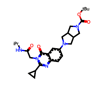 CC(C)NC(=O)Cn1c(C2CC2)nc2ccc(N3CC4CN(C(=O)OC(C)(C)C)CC4C3)cc2c1=O